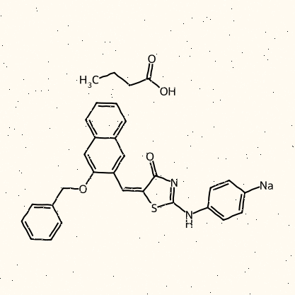 CCCC(=O)O.O=C1N=C(Nc2cc[c]([Na])cc2)SC1=Cc1cc2ccccc2cc1OCc1ccccc1